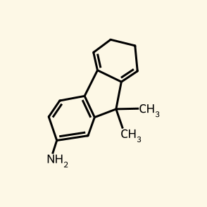 CC1(C)C2=CCCC=C2c2ccc(N)cc21